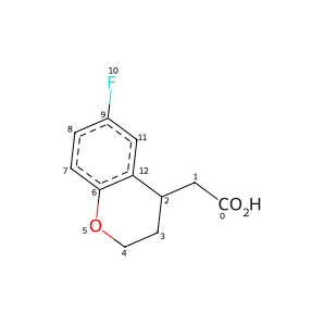 O=C(O)CC1CCOc2ccc(F)cc21